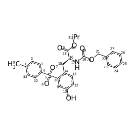 Cc1ccc(S(=O)(=O)c2cc(O)ccc2C[C@H](NC(=O)OCc2ccccc2)C(=O)OC(C)C)cc1